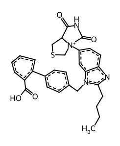 CCCCc1nc2ccc([N+]34CSCC3C(=O)NC4=O)cc2n1Cc1ccc(-c2ccccc2C(=O)O)cc1